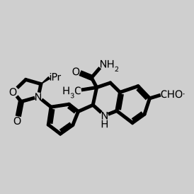 CC(C)[C@@H]1COC(=O)N1c1cccc(C2Nc3ccc([C]=O)cc3CC2(C)C(N)=O)c1